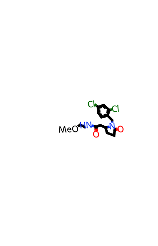 COCCNC(=O)CC1CCC(=O)N1Cc1ccc(Cl)cc1Cl